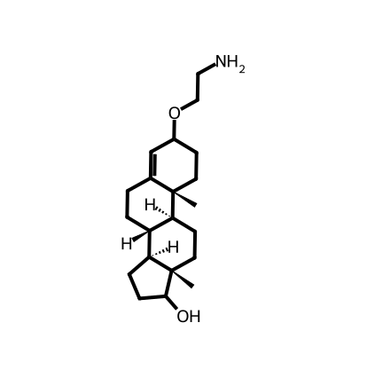 C[C@]12CCC(OCCN)C=C1CC[C@@H]1[C@@H]2CC[C@]2(C)C(O)CC[C@@H]12